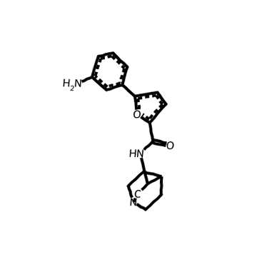 Nc1cccc(-c2ccc(C(=O)NC3CN4CCC3CC4)o2)c1